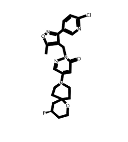 Cc1onc(-c2ccc(Cl)nc2)c1Cn1ncc(N2CCC3(CC2)C[C@H](F)CCO3)cc1=O